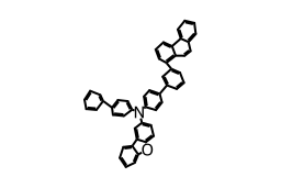 c1ccc(-c2ccc(N(c3ccc(-c4cccc(-c5cccc6c5ccc5ccccc56)c4)cc3)c3ccc4oc5ccccc5c4c3)cc2)cc1